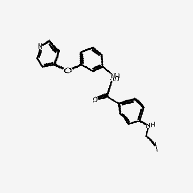 O=C(Nc1cccc(Oc2ccncc2)c1)c1ccc(NCI)cc1